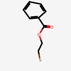 O=C(OCC[S])c1ccccc1